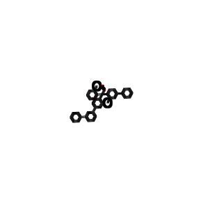 c1ccc(-c2cccc(-c3ccc4c(c3)Oc3cc(-c5ccccc5)ccc3C43c4ccccc4Oc4ccccc43)c2)cc1